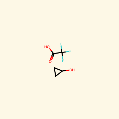 O=C(O)C(F)(F)F.OC1CC1